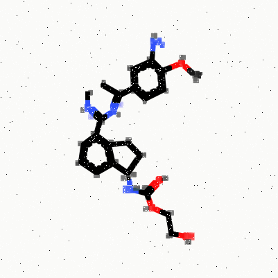 C/N=C(\N=C(/C)c1ccc(OC(C)C)c(N)c1)c1cccc2c1CC[C@@H]2NC(=O)OCCO